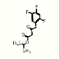 CC(C)OC(=O)CC(=O)Cc1cc(F)c(F)cc1F